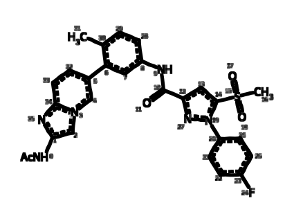 CC(=O)Nc1cn2cc(-c3cc(NC(=O)c4cc(S(C)(=O)=O)n(-c5ccc(F)cc5)n4)ccc3C)ccc2n1